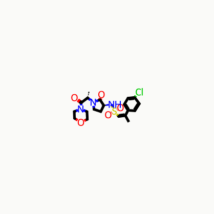 C/C(=C/S(=O)(=O)N[C@H]1CCN([C@@H](C)C(=O)N2CCOCC2)C1=O)c1ccc(Cl)cc1